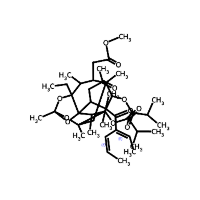 C/C=C\C(=C/C)C(=O)C(C)(C)C(CC(C)=O)C12OC3(C)OC4(C)CC(C)(C(CC(=O)OC)C(C)C1(CC)O3)C(OC(=O)C(C)C)C4(OC(=O)C(C)C)C2C